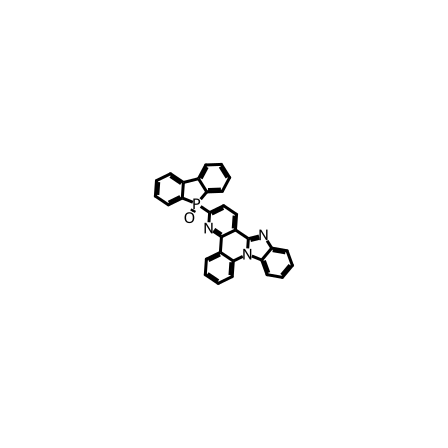 O=P1(c2ccc3c(n2)c2ccccc2n2c4ccccc4nc32)c2ccccc2-c2ccccc21